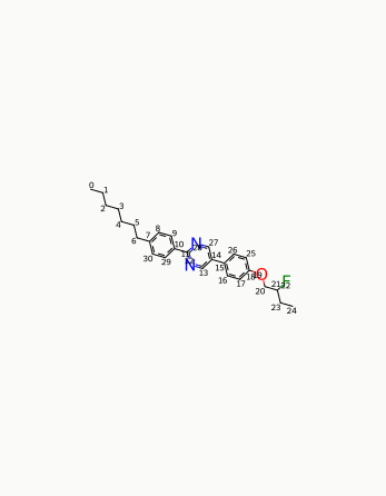 CCCCCCCc1ccc(-c2ncc(-c3ccc(OCC(F)CC)cc3)cn2)cc1